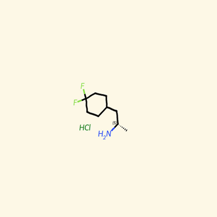 C[C@H](N)CC1CCC(F)(F)CC1.Cl